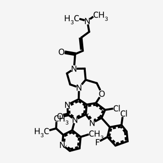 Cc1ccnc(C(C)C)c1-n1c(=O)nc2c3c(c(Cl)c(-c4c(F)cccc4Cl)nc31)OCC1CN(C(=O)/C=C/CN(C)C)CCN21